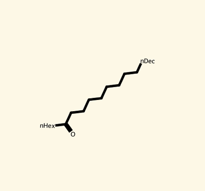 CCCCCCCCCCCCCCCCCCC(=O)CCCCCC